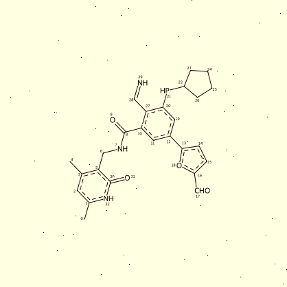 Cc1cc(C)c(CNC(=O)c2cc(-c3ccc(C=O)o3)cc(PC3CCCC3)c2C=N)c(=O)[nH]1